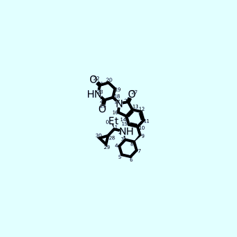 CC[C@H](N[C@H]1CCCC[C@@H]1Cc1ccc2c(c1)CN(C1CCC(=O)NC1=O)C2=O)C1CC1